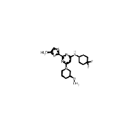 COC1CCCN(c2cc(NC3CCC(F)(F)CC3)nc(-c3nc(C)cs3)n2)C1